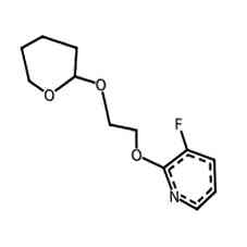 Fc1cccnc1OCCOC1CCCCO1